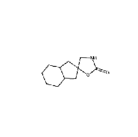 O=C1NCC2(CC3CCCCC3C2)O1